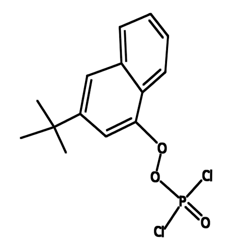 CC(C)(C)c1cc(OOP(=O)(Cl)Cl)c2ccccc2c1